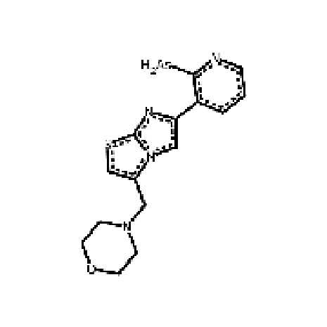 [AsH2]c1ncccc1-c1cn2c(CN3CCOCC3)csc2n1